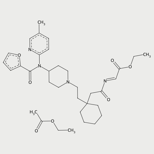 CCOC(=O)C=NC(=O)CC1(CCN2CCC(N(C(=O)c3ccco3)c3ccc(C)cn3)CC2)CCCCC1.CCOC(C)=O